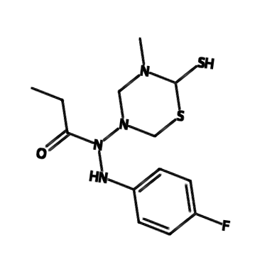 CCC(=O)N(Nc1ccc(F)cc1)N1CSC(S)N(C)C1